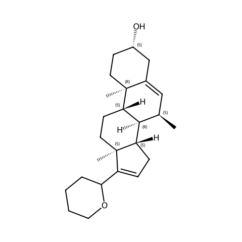 C[C@@H]1C=C2C[C@@H](O)CC[C@]2(C)[C@H]2CC[C@]3(C)C(C4CCCCO4)=CC[C@H]3[C@H]12